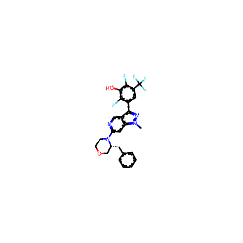 Cn1nc(-c2cc(C(F)(F)F)c(F)c(O)c2F)c2cnc(N3CCOC[C@H]3Cc3ccccc3)cc21